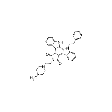 CN1CCN(CCN2C(=O)c3c(c4c5ccccc5n(CCc5ccccc5)c4c4[nH]c5ccccc5c34)C2=O)CC1